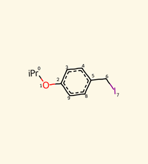 CC(C)Oc1ccc(CI)cc1